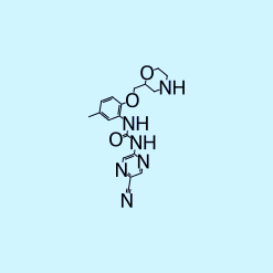 Cc1ccc(OCC2CNCCO2)c(NC(=O)Nc2cnc(C#N)cn2)c1